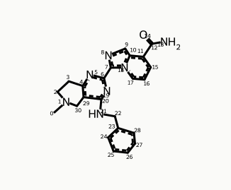 CN1CCc2nc(-c3ncc4c(C(N)=O)cccn34)nc(NCc3ccccc3)c2C1